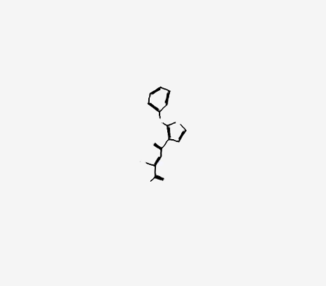 O=C(O)/C(O)=C/C(=O)c1ccsc1Sc1ccccc1